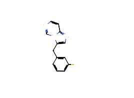 CSc1cccc(Cc2cnc3ccncn23)c1